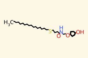 CCCCCCCCCCCCCCCCCCSCCCC(=O)NCCOc1ccc(O)cc1